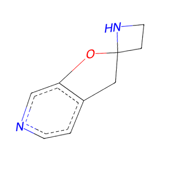 c1cc2c(cn1)OC1(CCN1)C2